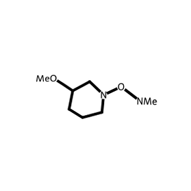 CNON1CCCC(OC)C1